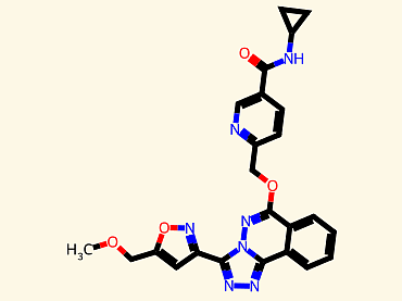 COCc1cc(-c2nnc3c4ccccc4c(OCc4ccc(C(=O)NC5CC5)cn4)nn23)no1